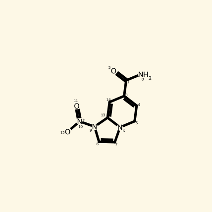 NC(=O)C1=CCN2C=CN([N+](=O)[O-])C2=C1